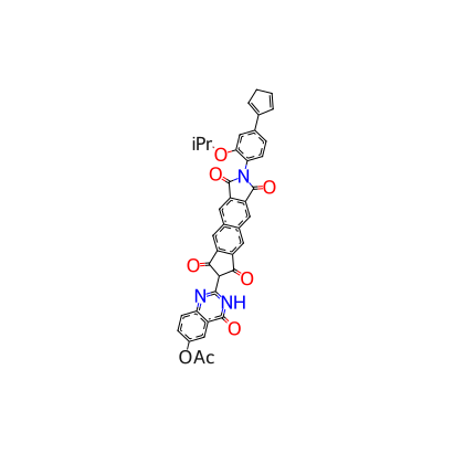 CC(=O)Oc1ccc2nc(C3C(=O)c4cc5cc6c(cc5cc4C3=O)C(=O)N(c3ccc(C4=CCC=C4)cc3OC(C)C)C6=O)[nH]c(=O)c2c1